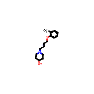 O=[N+]([O-])c1ccccc1OC/C=C/CN1CCC(O)CC1